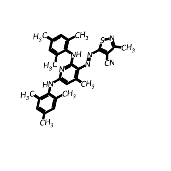 Cc1cc(C)c(Nc2cc(C)c(N=Nc3snc(C)c3C#N)c(Nc3c(C)cc(C)cc3C)n2)c(C)c1